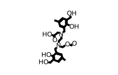 Cc1cc(CO)c(O)c(CN(CCN(CC(=O)O)Cc2cc(C)cc(CO)c2O)COC=O)c1